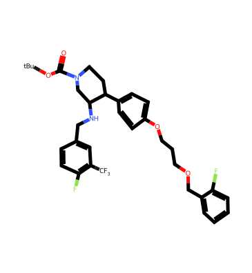 CC(C)(C)OC(=O)N1CCC(c2ccc(OCCCOCc3ccccc3F)cc2)C(NCc2ccc(F)c(C(F)(F)F)c2)C1